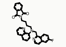 O=C1c2ccccc2C(=O)N1CCCCN(Cc1nccc2cc(F)ccc12)c1cccc2cccnc12